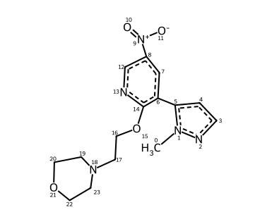 Cn1nccc1-c1cc([N+](=O)[O-])cnc1OCCN1CCOCC1